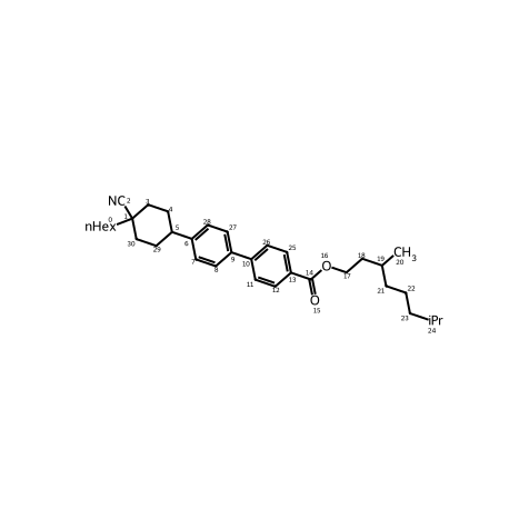 CCCCCCC1(C#N)CCC(c2ccc(-c3ccc(C(=O)OCCC(C)CCCC(C)C)cc3)cc2)CC1